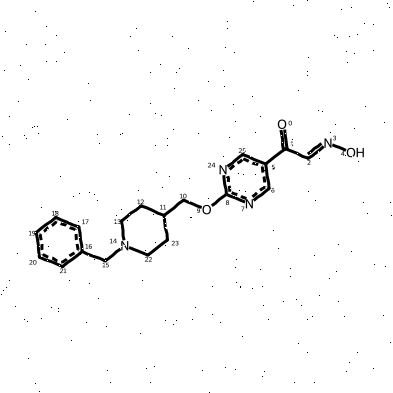 O=C(C=NO)c1cnc(OCC2CCN(Cc3ccccc3)CC2)nc1